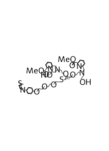 COC(=O)c1cccc(CN(CCO)CCOC[C@@H](CSCCOCCOCCOc2ccc(N=C=S)cc2)OCCN(CCO)Cc2cccc(C(=O)OC)n2)n1